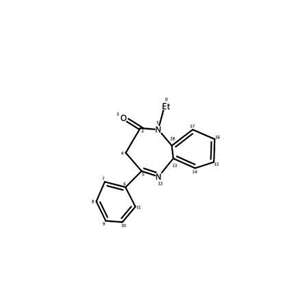 CCN1C(=O)CC(c2ccccc2)=Nc2ccccc21